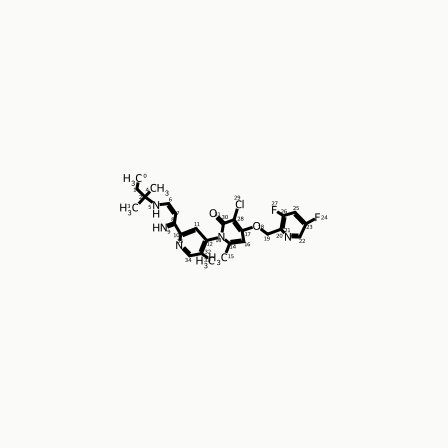 CCC(C)(C)N/C=C\C(=N)c1cc(-n2c(C)cc(OCc3ncc(F)cc3F)c(Cl)c2=O)c(C)cn1